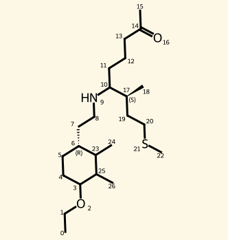 CCOC1CC[C@H](CCNC(CCCC(C)=O)[C@@H](C)CCSC)C(C)C1C